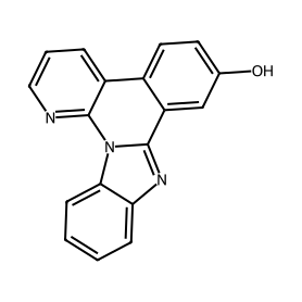 Oc1ccc2c3cccnc3n3c4ccccc4nc3c2c1